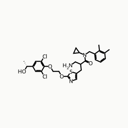 Cc1cccc(CN(C(=O)C(CN)Cc2cnc(OCCOc3c(Cl)cc([C@@H](C)O)cc3Cl)s2)C2CC2)c1C